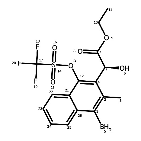 Bc1c(C)c([C@H](O)C(=O)OCC)c(OS(=O)(=O)C(F)(F)F)c2ccccc12